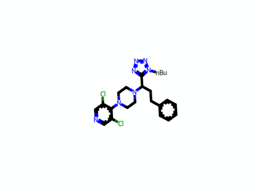 CCCCn1nnnc1C(CCc1ccccc1)N1CCN(c2c(Cl)cncc2Cl)CC1